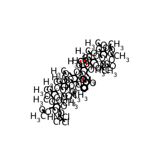 COCC1O[C@@H](O[C@H]2C(OC)C(OC)[C@@H](O[C@H]3C(OC)C(OC)[C@H](O[C@@H]4C(COC(C)=O)OC(OC(=N)C(Cl)(Cl)Cl)C(OC)[C@H]4OC)O[C@H]3COC)O[C@H]2COC)C(OC)[C@@H](OC)[C@@H]1O[C@H]1OC(CN2C(=O)c3ccccc3C2=O)[C@@H](O[C@@H]2O[C@@H](COC(C)=O)[C@@H](O[C@H]3O[C@@H](COC(C)=O)[C@@H](OC(C)=O)C(OC(C)=O)C3OC(C)=O)C(OC(C)=O)C2OC(C)=O)[C@H](OC)C1OC